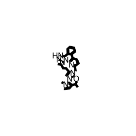 CCCCc1cn(-c2c(C(C)C)ccn2C)c(=O)n1Cc1ccc(-c2ccccc2-c2nnn[nH]2)cn1